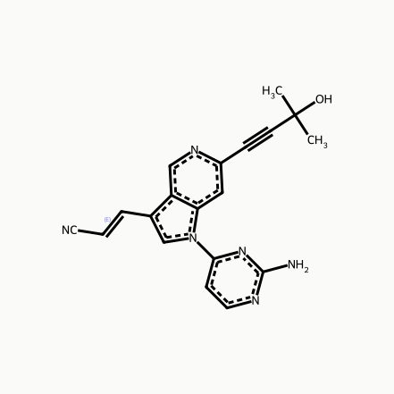 CC(C)(O)C#Cc1cc2c(cn1)c(/C=C/C#N)cn2-c1ccnc(N)n1